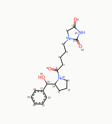 O=C1CN(CCCCC(=O)N2CCCC2C(O)c2ccccc2)C(=O)N1